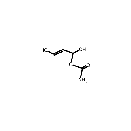 NC(=O)OC(O)C=CO